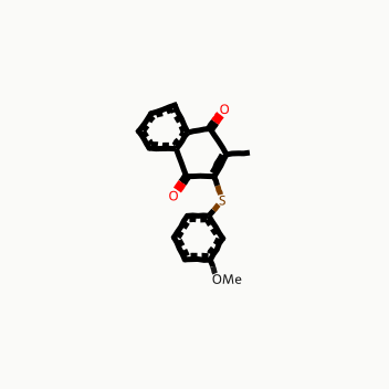 COc1cccc(SC2=C(C)C(=O)c3ccccc3C2=O)c1